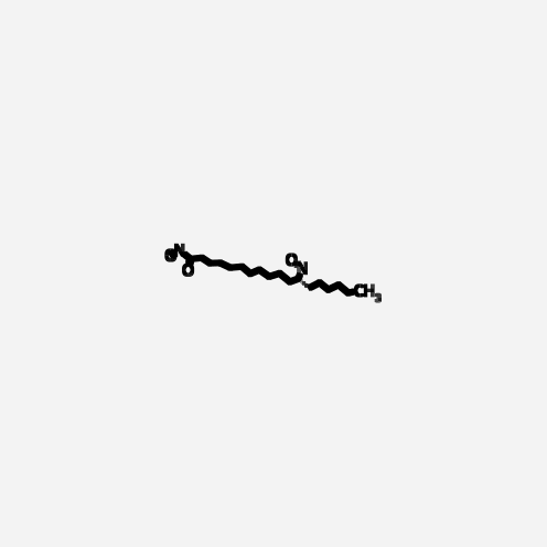 CCCCCC[C@H](CCCCCCCCCCC(=O)N=O)N=O